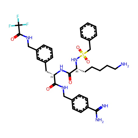 N=C(N)c1ccc(CNC(=O)[C@H](Cc2cccc(CNC(=O)C(F)(F)F)c2)NC(=O)[C@@H](CCCCCN)NS(=O)(=O)Cc2ccccc2)cc1